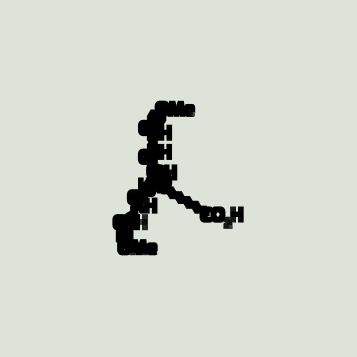 COc1ccc(C(=O)NCCCNC(=O)CCOCC(CO)(COCCC(=O)NCCCNC(=O)c2ccc(OC)cc2)NC(=O)CCCCCCCCCCC(=O)O)cc1